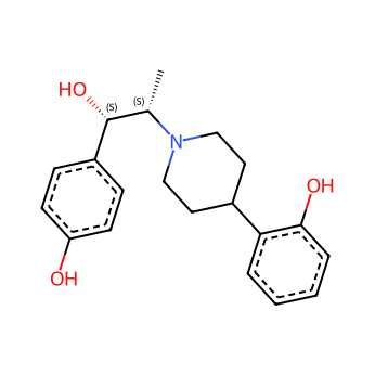 C[C@@H]([C@@H](O)c1ccc(O)cc1)N1CCC(c2ccccc2O)CC1